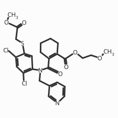 COCCOC(=O)C1=C(C(=O)N(Cc2cccnc2)c2cc(SCC(=O)OC)c(Cl)cc2Cl)CCCC1